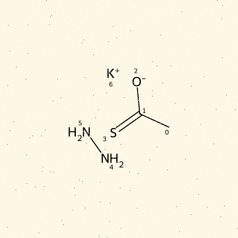 CC([O-])=S.NN.[K+]